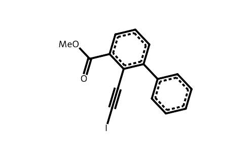 COC(=O)c1cccc(-c2ccccc2)c1C#CI